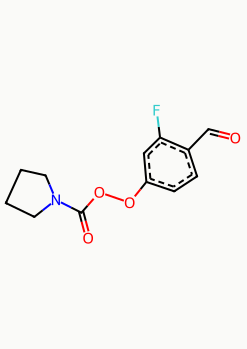 O=Cc1ccc(OOC(=O)N2CCCC2)cc1F